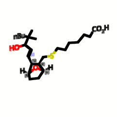 CCCCC(C)(C)C(O)/C=C/[C@H]1[C@@H](CSCCCCCCC(=O)O)[C@H]2CC[C@@H]1O2